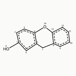 Oc1ccc2c(c1)Cc1ccccc1O2